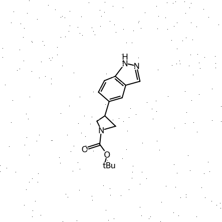 CC(C)(C)OC(=O)N1CC(c2ccc3[nH]ncc3c2)C1